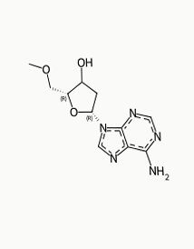 COC[C@H]1O[C@@H](n2cnc3c(N)ncnc32)CC1O